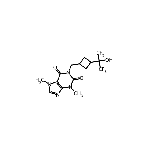 Cn1cnc2c1c(=O)n(CC1CC(C(O)(C(F)(F)F)C(F)(F)F)C1)c(=O)n2C